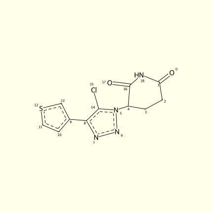 O=C1CCC(n2nnc(-c3ccsc3)c2Cl)C(=O)N1